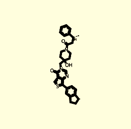 C[C@H](CC(=O)N1CCC(O)(Cn2cnc3c(-c4ccc5c(c4)CC[CH]5)scc3c2=O)CC1)c1ccccc1